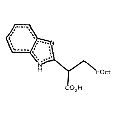 CCCCCCCCCC(C(=O)O)c1nc2ccccc2[nH]1